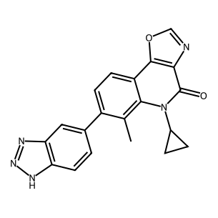 Cc1c(-c2ccc3[nH]nnc3c2)ccc2c3ocnc3c(=O)n(C3CC3)c12